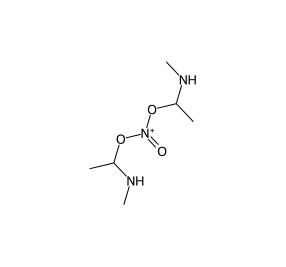 CNC(C)O[N+](=O)OC(C)NC